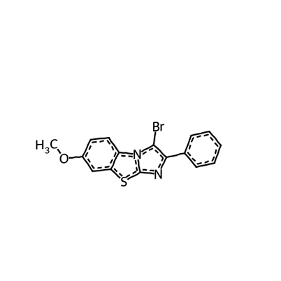 COc1ccc2c(c1)sc1nc(-c3ccccc3)c(Br)n12